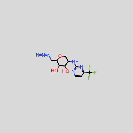 [N-]=[N+]=NCC1OCC(Nc2nccc(C(F)(F)F)n2)C(O)C1O